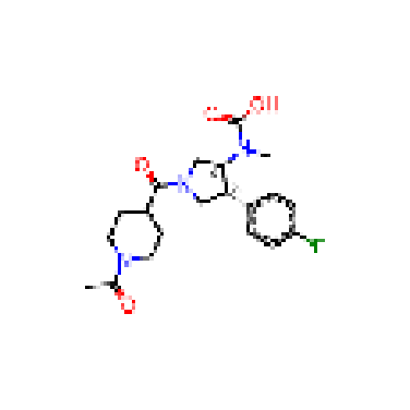 CC(=O)N1CCC(C(=O)N2C[C@@H](N(C)C(=O)O)[C@H](c3ccc(F)cc3)C2)CC1